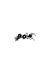 Cc1nn(C)cc1C(=O)NC1CCC(NC2=CCCc3nc(C(F)(F)F)cn32)CC1